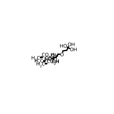 C=CC(=O)O.C=CC(=O)O.C=CC(=O)O.OC(O)(O)CCOCCC(O)(O)O